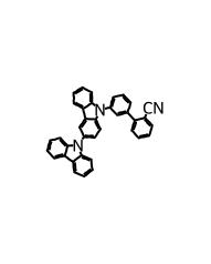 N#Cc1ccccc1-c1cccc(-n2c3ccccc3c3cc(-n4c5ccccc5c5ccccc54)ccc32)c1